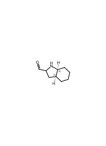 O=[C]C1C[C@@H]2CCCC[C@@H]2N1